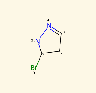 BrC1CC=N[N]1